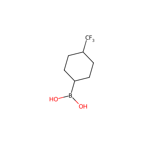 OB(O)C1CCC(C(F)(F)F)CC1